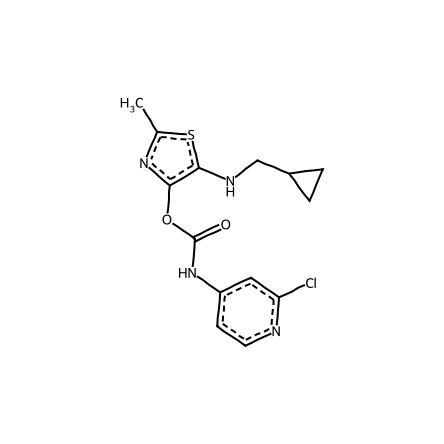 Cc1nc(OC(=O)Nc2ccnc(Cl)c2)c(NCC2CC2)s1